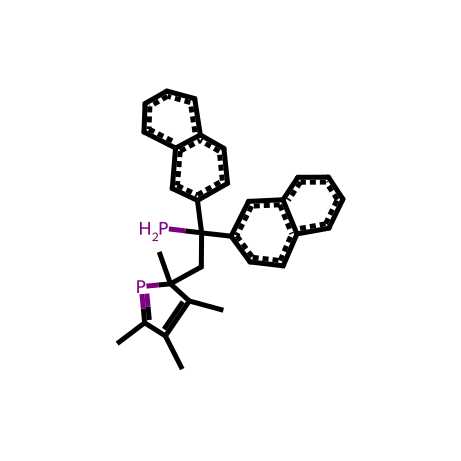 CC1=PC(C)(CC(P)(c2ccc3ccccc3c2)c2ccc3ccccc3c2)C(C)=C1C